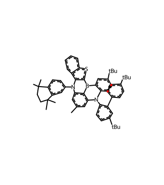 Cc1cc2c3c(c1)N(c1ccc4c(c1)C(C)(C)CCC4(C)C)c1c(sc4ccccc14)B3c1cc(C(C)(C)C)ccc1N2c1ccc(C(C)(C)C)cc1-c1ccc(C(C)(C)C)cc1